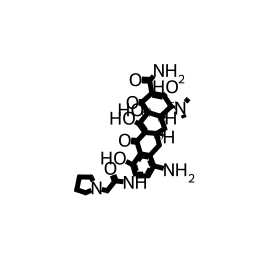 CN(C)[C@@H]1C(O)=C(C(N)=O)C(=O)[C@@]2(O)C(O)=C3C(=O)c4c(O)c(NC(=O)CN5CCCC5)cc(N)c4C[C@H]3C[C@@H]12